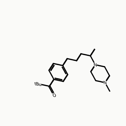 CC(CCCc1ccc(C(=O)C(C)(C)C)cc1)N1CCN(C)CC1